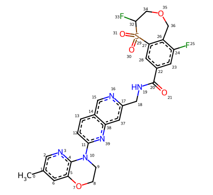 Cc1cnc2c(c1)OCCN2c1ccc2cnc(CNC(=O)c3cc(F)c4c(c3)S(=O)(=O)C(F)COC4)cc2n1